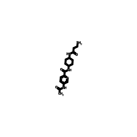 CC(=O)Nc1ccc(C(=O)NC2CCC(NC(=O)CCN)CC2)nc1